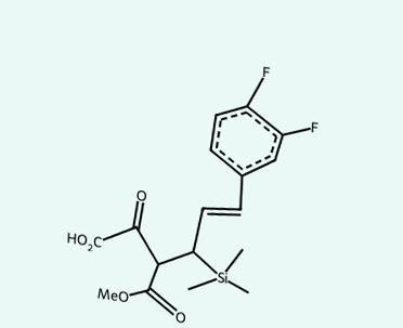 COC(=O)C(C(=O)C(=O)O)C(C=Cc1ccc(F)c(F)c1)[Si](C)(C)C